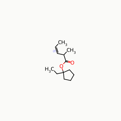 C/C=C\C(C)C(=O)OC1(CC)CCCC1